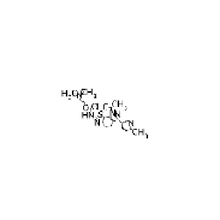 Cc1ccc(-c2nn(C(C)C)c3c2CCc2nc(NC(=O)OCCN(C)C)sc2-3)cn1